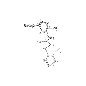 CCOC(=O)c1ccc([N+](=O)[O-])c(NC(=O)CCc2ccccc2C(F)(F)F)c1